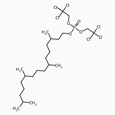 CC(C)CCCC(C)CCCC(C)CCCC(C)CCOP(=O)(OCC(Cl)(Cl)Cl)OCC(Cl)(Cl)Cl